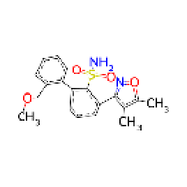 COCc1ccccc1-c1cccc(-c2noc(C)c2C)c1S(N)(=O)=O